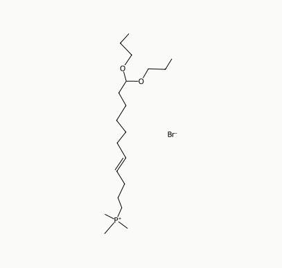 CCCOC(CCCCC/C=C/CCC[P+](C)(C)C)OCCC.[Br-]